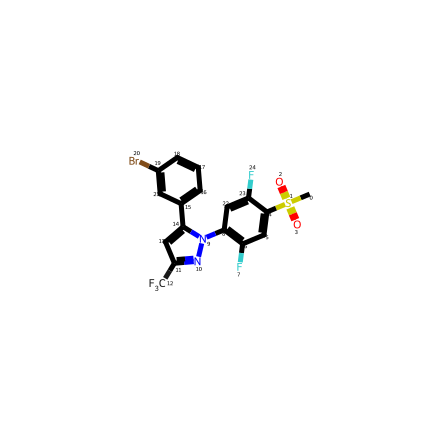 CS(=O)(=O)c1cc(F)c(-n2nc(C(F)(F)F)cc2-c2cccc(Br)c2)cc1F